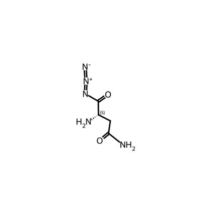 [N-]=[N+]=NC(=O)[C@@H](N)CC(N)=O